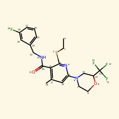 CCSc1nc(N2CCOC(C(F)(F)F)C2)cc(C)c1C(=O)NCc1cccc(F)c1